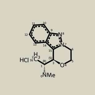 CN[C@H](C)[C@@H]1OCCn2nc3ccccc3c21.Cl